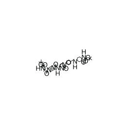 COC1CC(NCc2ccc(-n3ccc(NC(=O)N4CCN(C(=O)C(C)(C)NC(=O)OC(C)(C)C)CC4)nc3=O)cc2)CCC1NC(=O)OC(C)(C)C